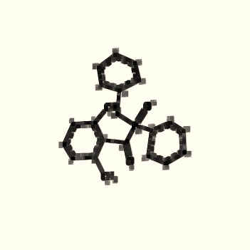 Cc1cccc(C)c1C(=O)P(=O)(Cc1ccccc1)c1ccccc1